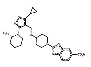 O=C(O)c1ccc2nc(N3CCC(OCc4c([C@@H]5CCCC[C@@H]5C(F)(F)F)noc4C4CC4)CC3)sc2c1